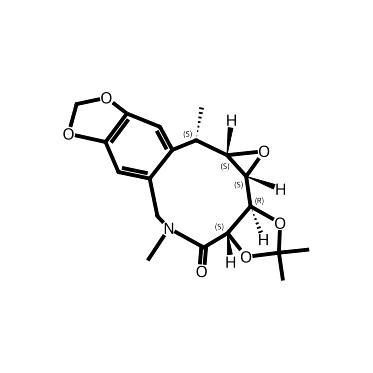 C[C@H]1c2cc3c(cc2CN(C)C(=O)[C@H]2OC(C)(C)O[C@@H]2[C@H]2O[C@H]21)OCO3